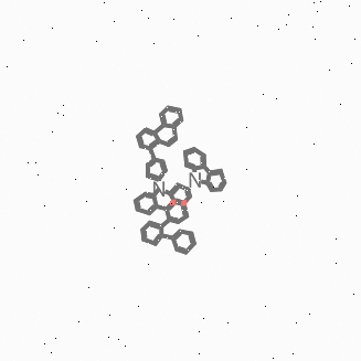 c1ccc(-c2ccccc2-c2ccccc2-c2ccccc2N(c2ccc(-c3cccc4c3ccc3ccccc34)cc2)c2cccc(-n3c4ccccc4c4ccccc43)c2)cc1